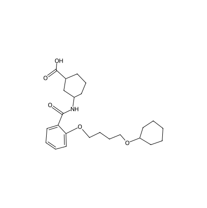 O=C(NC1CCCC(C(=O)O)C1)c1ccccc1OCCCCOC1CCCCC1